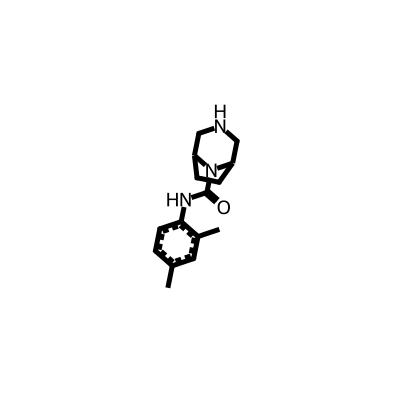 Cc1ccc(NC(=O)N2C3CCC2CNC3)c(C)c1